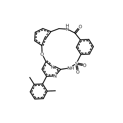 Cc1cccc(C)c1-c1cc2nc(n1)NS(=O)(=O)c1cccc(c1)C(=O)NCc1cccc(c1)O2